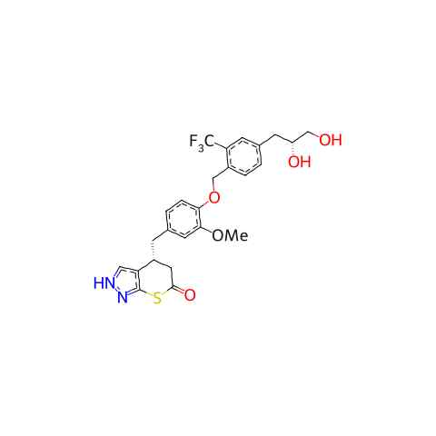 COc1cc(C[C@@H]2CC(=O)Sc3n[nH]cc32)ccc1OCc1ccc(C[C@@H](O)CO)cc1C(F)(F)F